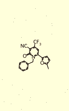 Cc1ccc(-c2cc(C(F)(F)F)c(C#N)c(=O)n2Cc2ccccc2)o1